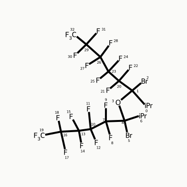 CC(C)C(Br)(OC(Br)(C(C)C)C(F)(F)C(F)(F)C(F)(F)C(F)(F)C(F)(F)F)C(F)(F)C(F)(F)C(F)(F)C(F)(F)C(F)(F)F